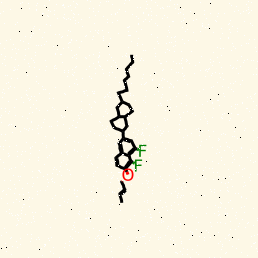 CC=CCOc1ccc2cc(C3CCC4CC(CCCCCCC)CCC4C3)cc(F)c2c1F